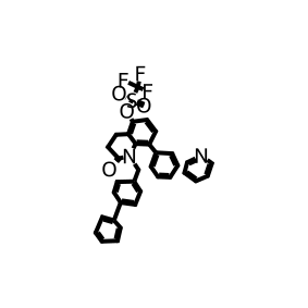 O=C1CCc2c(OS(=O)(=O)C(F)(F)F)ccc(-c3ccccc3)c2N1Cc1ccc(-c2ccccc2)cc1.c1ccncc1